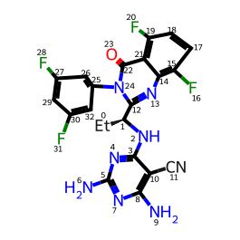 CC[C@H](Nc1nc(N)nc(N)c1C#N)c1nc2c(F)ccc(F)c2c(=O)n1-c1cc(F)cc(F)c1